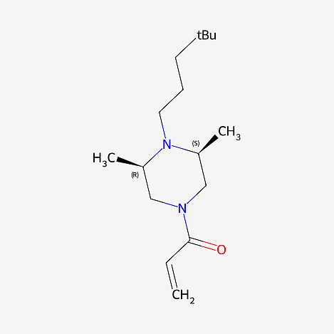 C=CC(=O)N1C[C@@H](C)N(CCCC(C)(C)C)[C@@H](C)C1